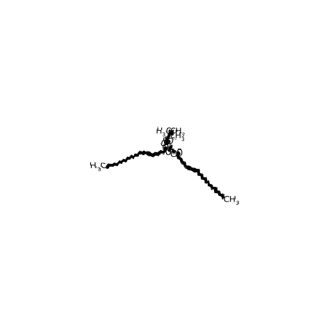 CCCCCCCCCCCCCCCCCC#CC#CCCCCCC(=O)OC[C@H](COP(=O)([O-])OCC[N+](C)(C)C)OC(=O)CCCCCC#CC#CCCCCCCCCCCCCCCCCC